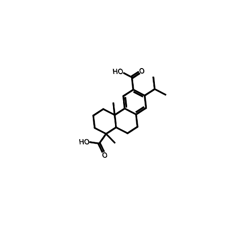 CC(C)c1cc2c(cc1C(=O)O)C1(C)CCCC(C)(C(=O)O)C1CC2